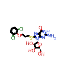 Nc1nc2c(nc(SCCCOc3c(Cl)cccc3Cl)n2[C@@H]2O[C@H](CO)[C@@H](O)[C@H]2O)c(=O)[nH]1